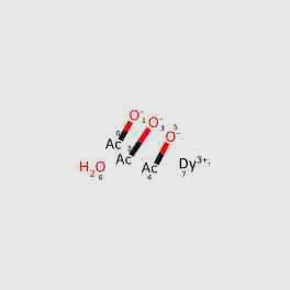 CC(=O)[O-].CC(=O)[O-].CC(=O)[O-].O.[Dy+3]